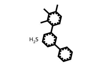 Cc1ccc(-c2cccc(-c3ccccc3)c2)c(C)c1C.S